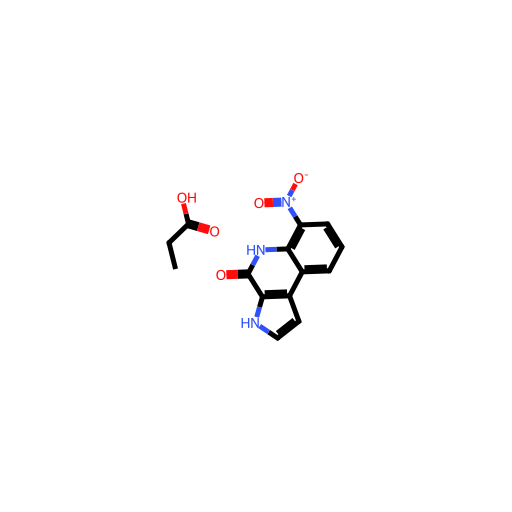 CCC(=O)O.O=c1[nH]c2c([N+](=O)[O-])cccc2c2cc[nH]c12